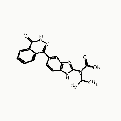 CC(C)N(C(=O)O)c1nc2cc(-c3n[nH]c(=O)c4ccccc34)ccc2[nH]1